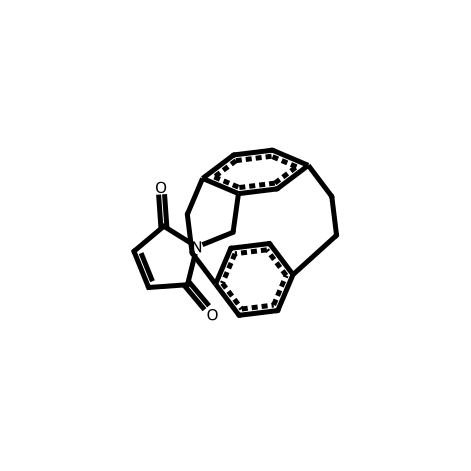 O=C1C=CC(=O)N1Cc1cc2ccc1CCc1ccc(cc1)CC2